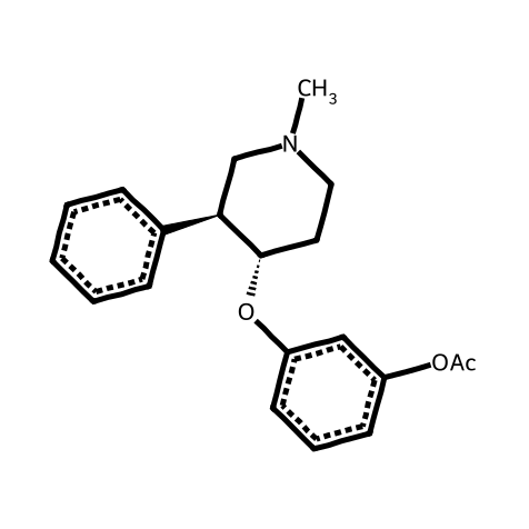 CC(=O)Oc1cccc(O[C@H]2CCN(C)C[C@@H]2c2ccccc2)c1